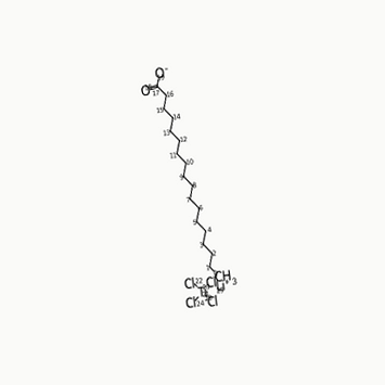 CCCCCCCCCCCCCCCCCC(=O)[O-].[Cl][Ti]([Cl])([Cl])[Cl].[Li+]